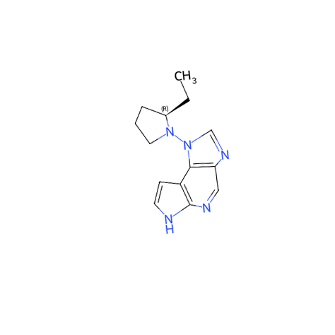 CC[C@@H]1CCCN1n1cnc2cnc3[nH]ccc3c21